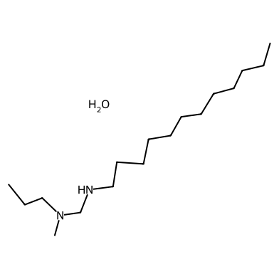 CCCCCCCCCCCCNCN(C)CCC.O